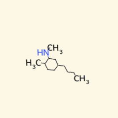 CCCCC1CCC(C)C(NC)C1